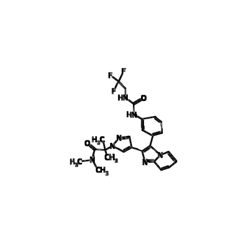 CN(C)C(=O)C(C)(C)n1cc(-c2nc3ccccn3c2-c2cccc(NC(=O)NCC(F)(F)F)c2)cn1